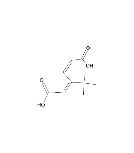 CC(C)(C)C(/C=C\C(=O)O)=C/C(=O)O